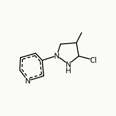 CC1CN(c2cccnc2)NC1Cl